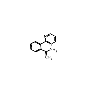 C=C(N)c1ccccc1-c1ncccn1